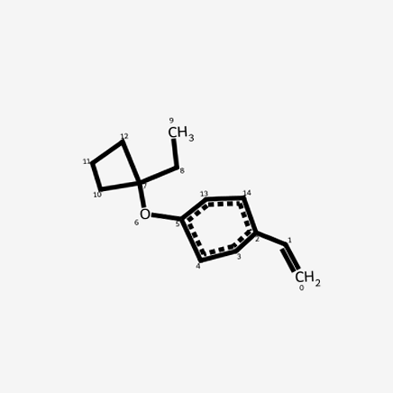 C=Cc1ccc(OC2(CC)CCC2)cc1